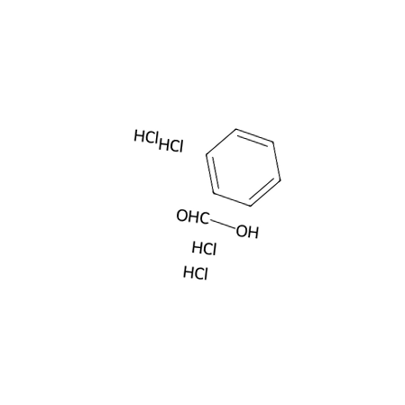 Cl.Cl.Cl.Cl.O=CO.c1ccccc1